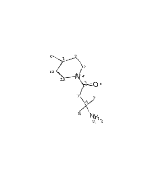 CC1CCN(C(=O)CC(C)(C)N)CC1